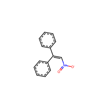 O=[N+]([O-])C=C(c1ccccc1)c1ccccc1